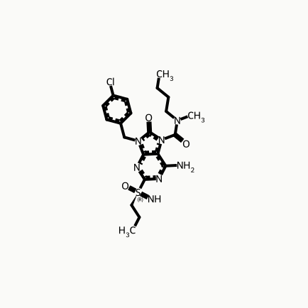 CCCCN(C)C(=O)n1c(=O)n(Cc2ccc(Cl)cc2)c2nc([S@](=N)(=O)CCC)nc(N)c21